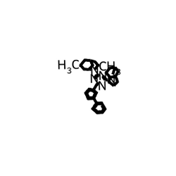 CC1CC2CC(C)N(c3nc(-c4cccc(-c5ccccc5)c4)nc(N4C5CCC6CC4CC6C5)n3)C(C1)C2